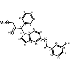 CNCC(O)C(c1ccccc1)n1ccc2cc(OCc3cccc(F)c3)ccc21